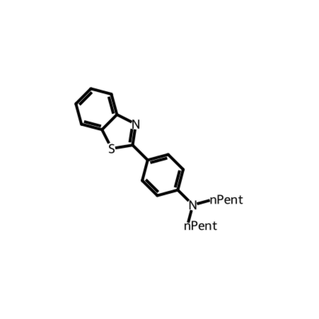 CCCCCN(CCCCC)c1ccc(-c2nc3ccccc3s2)cc1